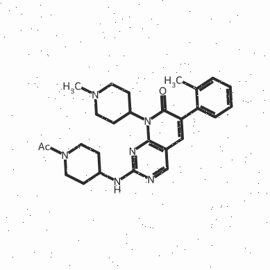 CC(=O)N1CCC(Nc2ncc3cc(-c4ccccc4C)c(=O)n(C4CCN(C)CC4)c3n2)CC1